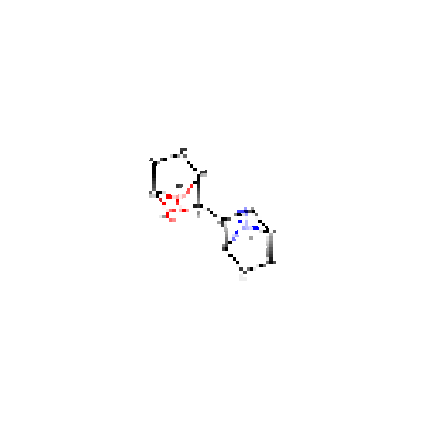 C1=C2CC(C3OC4CCC3O4)C(C1)N2